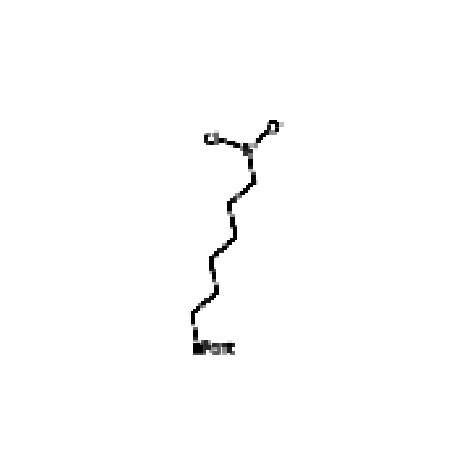 CCCCCCCCCCC[S+]([O-])Cl